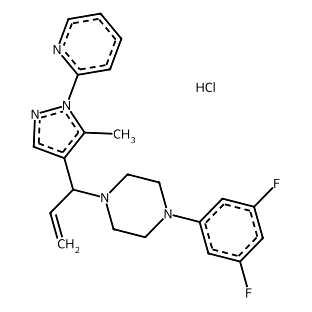 C=CC(c1cnn(-c2ccccn2)c1C)N1CCN(c2cc(F)cc(F)c2)CC1.Cl